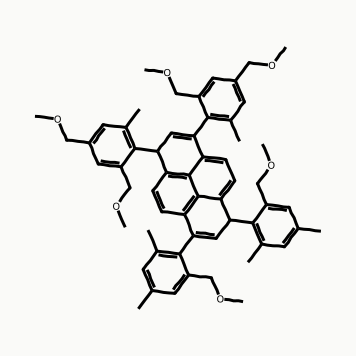 COCc1cc(C)c(C2=CC(c3c(C)cc(COC)cc3COC)c3ccc4c5c(ccc2c35)C(c2c(C)cc(C)cc2COC)C=C4c2c(C)cc(C)cc2COC)c(COC)c1